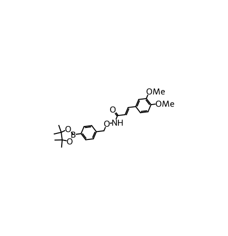 COc1ccc(/C=C/C(=O)NOCc2ccc(B3OC(C)(C)C(C)(C)O3)cc2)cc1OC